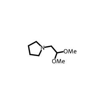 COC(CN1CCCC1)OC